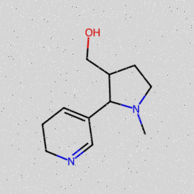 CN1CCC(CO)C1C1=CCCN=C1